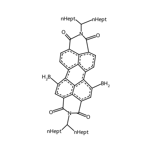 Bc1cc2c3c(cc(B)c4c5ccc6c7c(ccc(c1c34)c75)C(=O)N(C(CCCCCCC)CCCCCCC)C6=O)C(=O)N(C(CCCCCCC)CCCCCCC)C2=O